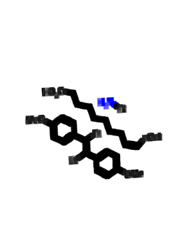 CC/C(=C(/CC)c1ccc(OC)cc1)c1ccc(OC)cc1.CCCCCCCC/C=C\CCCCCCCC(=O)O.CCN